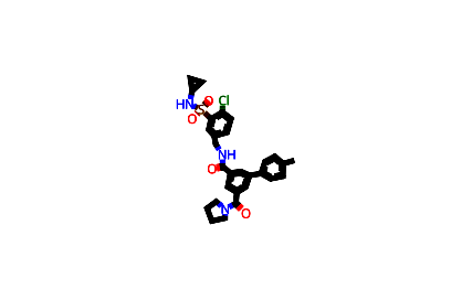 Cc1ccc(-c2cc(C(=O)NCc3ccc(Cl)c(S(=O)(=O)NC4CC4)c3)cc(C(=O)N3CCCC3)c2)cc1